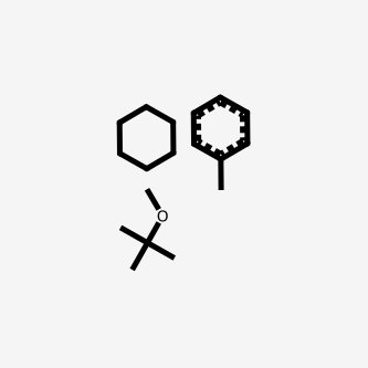 C1CCCCC1.COC(C)(C)C.Cc1ccccc1